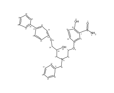 NC(=O)c1cc(OCCN(Cc2ccccc2)CC(O)COc2ccc(-c3ccccc3)cc2)ccc1O